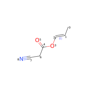 C/C=[C]/OC(=O)CC#N